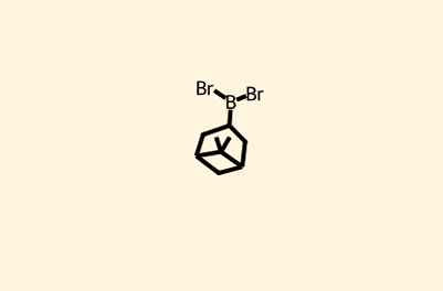 CC1(C)C2CC(B(Br)Br)CC1C2